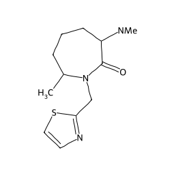 CNC1CCCC(C)N(Cc2nccs2)C1=O